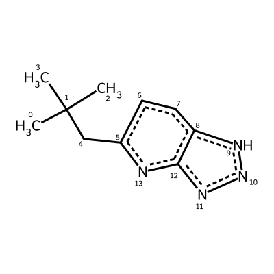 CC(C)(C)Cc1ccc2[nH]nnc2n1